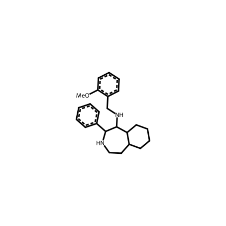 COc1ccccc1CNC1C(c2ccccc2)NCCC2CCCCC21